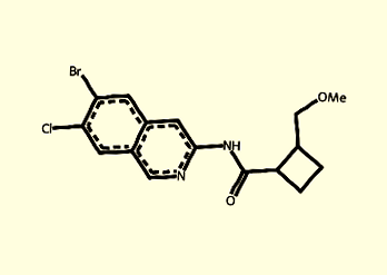 COCC1CCC1C(=O)Nc1cc2cc(Br)c(Cl)cc2cn1